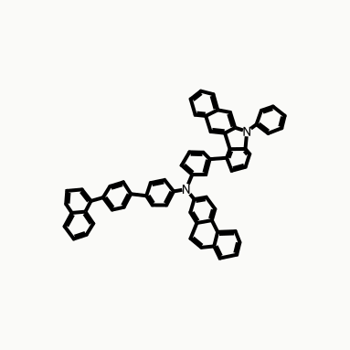 c1ccc(-n2c3cc4ccccc4cc3c3c(-c4cccc(N(c5ccc(-c6ccc(-c7cccc8ccccc78)cc6)cc5)c5ccc6c(ccc7ccccc76)c5)c4)cccc32)cc1